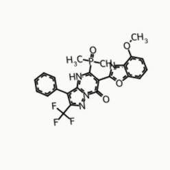 COc1cccc2oc(-c3c(P(C)(C)=O)[nH]c4c(-c5ccccc5)c(C(F)(F)F)nn4c3=O)nc12